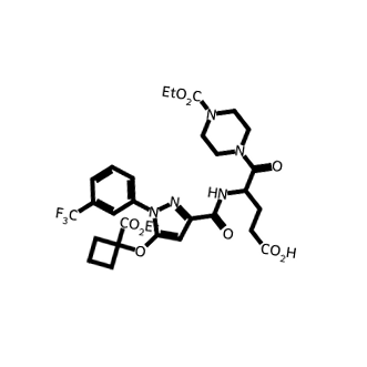 CCOC(=O)N1CCN(C(=O)C(CCC(=O)O)NC(=O)c2cc(OC3(C(=O)OCC)CCC3)n(-c3cccc(C(F)(F)F)c3)n2)CC1